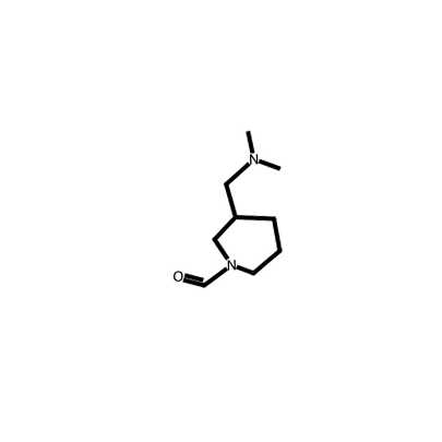 CN(C)CC1CCCN(C=O)C1